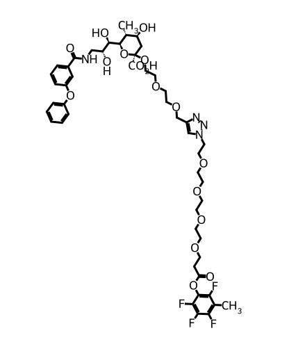 Cc1c(F)c(F)c(F)c(OC(=O)CCOCCOCCOCCOCCn2cc(COCCOCCO[C@]3(C(=O)O)C[C@H](O)[C@@H](C)[C@H]([C@H](O)[C@H](O)CNC(=O)c4cccc(Oc5ccccc5)c4)O3)nn2)c1F